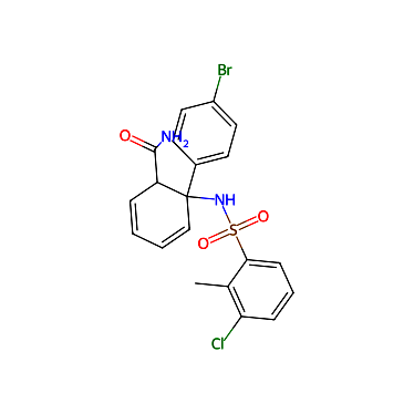 Cc1c(Cl)cccc1S(=O)(=O)NC1(c2ccc(Br)cc2)C=CC=CC1C(N)=O